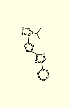 CC(C)n1cnnc1-c1cc(-c2ncc(-c3ccccc3)o2)cs1